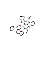 CC(C)(C)c1c2c(c(N(c3cccc4ccccc34)c3ccc(-c4ccccc4)c4ccccc34)c3c1-c1ccccc1C3(C)C)C(C)(C)c1ccccc1-2